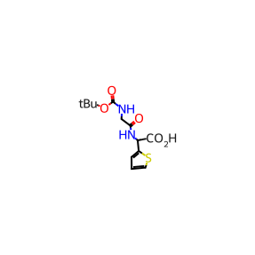 CC(C)(C)OC(=O)NCC(=O)NC(C(=O)O)c1cccs1